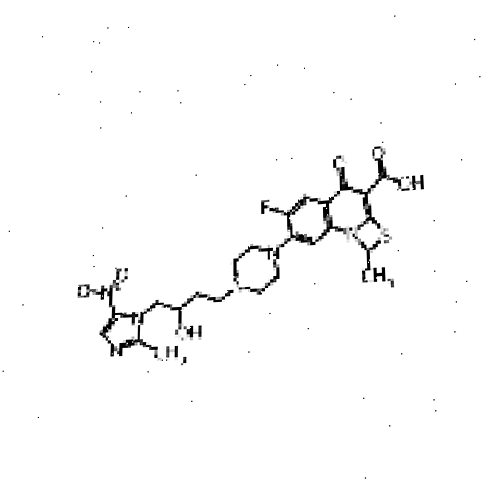 Cc1ncc([N+](=O)[O-])n1CC(O)CCN1CCN(c2cc3c(cc2F)c(=O)c(C(=O)O)c2n3C(C)S2)CC1